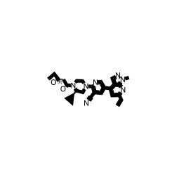 C=Cc1cc(-c2cnc(N3CCN(C(=O)C[C@H]4CCO4)[C@H](C4CC4)C3)c(C#N)c2)c2cnn(C)c2n1